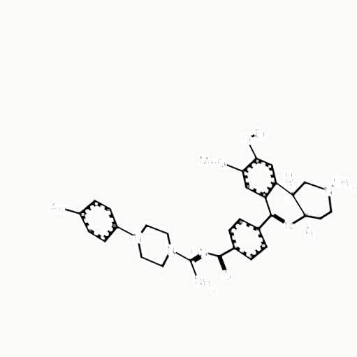 CCOc1cc2c(cc1OC)C(c1ccc(C(=O)/N=C(\N)N3CCN(c4ccc(C(C)=O)cc4)CC3)cc1)=N[C@@H]1CCN(C)C[C@H]21